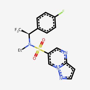 CCN([C@H](c1ccc(F)cc1)C(F)(F)F)S(=O)(=O)c1cnc2ccnn2c1